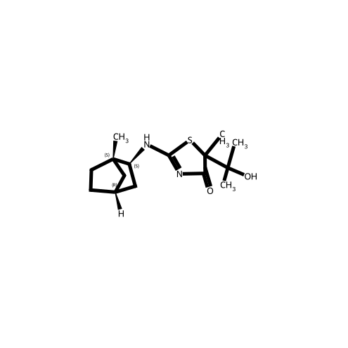 CC(C)(O)C1(C)SC(N[C@H]2C[C@@H]3CC[C@@]2(C)C3)=NC1=O